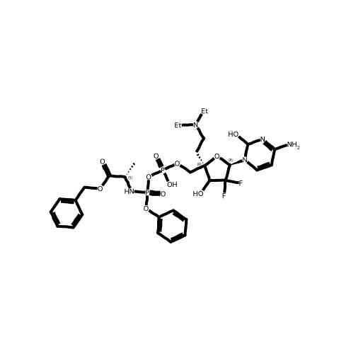 CCN(CC)CC[C@]1(COP(=O)(O)OP(=O)(N[C@@H](C)C(=O)OCc2ccccc2)Oc2ccccc2)O[C@@H](N2C=CC(N)=NC2O)C(F)(F)C1O